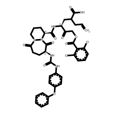 C=CCC(C[C@H](NC(=O)[C@@H]1CCCN2C(=O)CC[C@H](NC(=O)Nc3ccc(Oc4ccccc4)cc3)C(=O)N12)C(=O)COC(=O)c1c(Cl)cccc1Cl)C(=O)O